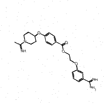 CC(=N)N1CCC(Oc2ccc(C(=O)OCCOc3cccc(C(=N)N)c3)cc2)CC1